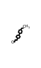 CCCC1CCC(C2CCC(C=CC=O)CC2)CC1